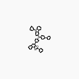 c1ccc(-c2ccc(N(c3ccc(-c4cc5ccccc5c5nc(-c6ccccc6)oc45)cc3)c3ccc4c(c3)c3ccccc3n4-c3ccccc3)cc2)cc1